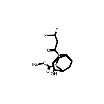 CC(C)(C)OC(=O)N1C2CC3CC1C(C2O)N(C(=O)CC(F)F)C3